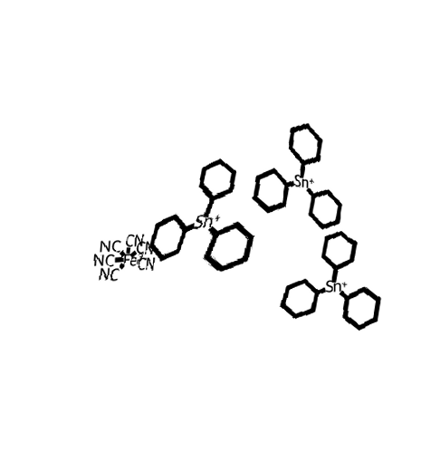 C1CC[CH]([Sn+]([CH]2CCCCC2)[CH]2CCCCC2)CC1.C1CC[CH]([Sn+]([CH]2CCCCC2)[CH]2CCCCC2)CC1.C1CC[CH]([Sn+]([CH]2CCCCC2)[CH]2CCCCC2)CC1.N#[C][Fe-3]([C]#N)([C]#N)([C]#N)([C]#N)[C]#N